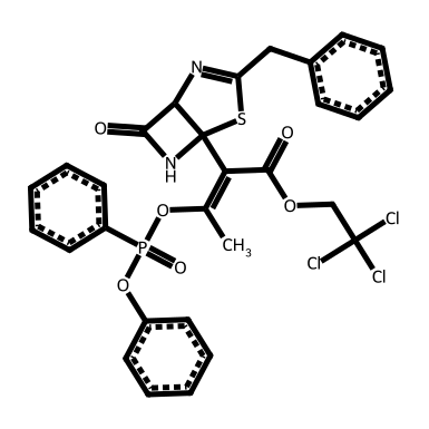 CC(OP(=O)(Oc1ccccc1)c1ccccc1)=C(C(=O)OCC(Cl)(Cl)Cl)C12NC(=O)C1N=C(Cc1ccccc1)S2